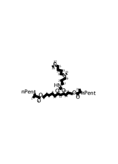 CCCCCC(C)C(=O)OCCCCCC(CCCCCOC(=O)C(C)CCCCC)OC(=O)NCCCN(C)CCCCN(C)C